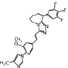 COc1cc(/C=C/c2nnc3n2CCCC[C@H]3c2cc(F)c(F)c(F)c2)ccc1-n1cnc(C)c1